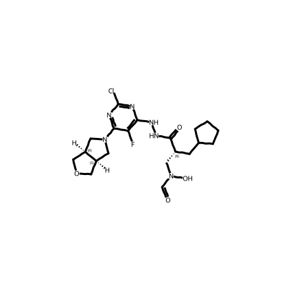 O=CN(O)C[C@@H](CC1CCCC1)C(=O)NNc1nc(Cl)nc(N2C[C@H]3COC[C@H]3C2)c1F